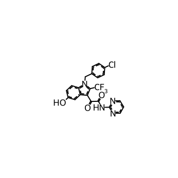 O=C(Nc1ncccn1)C(=O)c1c(C(F)(F)F)n(Cc2ccc(Cl)cc2)c2ccc(O)cc12